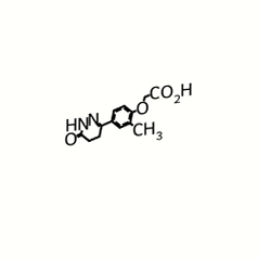 Cc1cc(C2=NNC(=O)CC2)ccc1OCC(=O)O